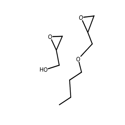 CCCCOCC1CO1.OCC1CO1